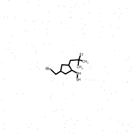 CCC(C)(C)CC1CC(CC(C)(C)C)CC1BS